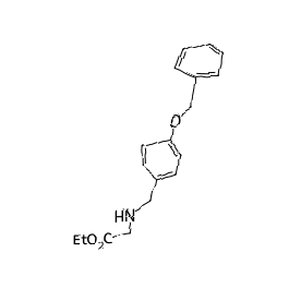 CCOC(=O)CNCc1ccc(OCc2ccccc2)cc1